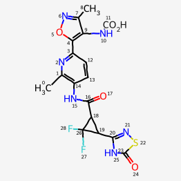 Cc1nc(-c2onc(C)c2NC(=O)O)ccc1NC(=O)C1C(c2nsc(=O)[nH]2)C1(F)F